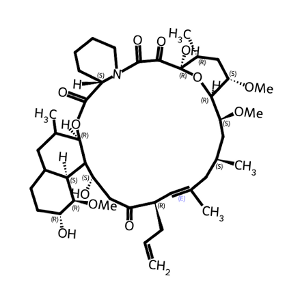 C=CC[C@@H]1/C=C(\C)C[C@H](C)C[C@H](OC)[C@H]2O[C@@](O)(C(=O)C(=O)N3CCCC[C@H]3C(=O)O[C@@H]3C(C)CC4CC[C@@H](O)[C@H](OC)[C@@H]4C3[C@@H](O)CC1=O)[C@H](C)C[C@@H]2OC